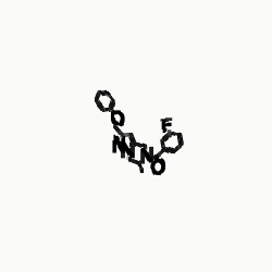 CC1Cn2nc(COc3ccccc3)cc2CN1C(=O)c1cccc(F)c1